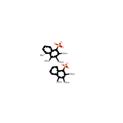 CCCCCCCCCc1c(CCCCCCCCC)c(S(=O)(=O)[O-])c2ccccc2c1CCCCCCCCC.CCCCCCCCCc1c(CCCCCCCCC)c(S(=O)(=O)[O-])c2ccccc2c1CCCCCCCCC.[Ba+2]